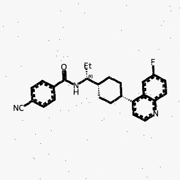 CC[C@@H](NC(=O)c1ccc(C#N)cc1)[C@H]1CC[C@@H](c2ccnc3ccc(F)cc32)CC1